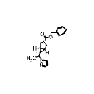 CC([C@H]1[C@@H]2CN(C(=O)OCc3ccccc3)C[C@@H]21)n1cccn1